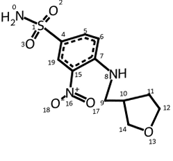 NS(=O)(=O)c1ccc(NCC2CCOC2)c([N+](=O)[O-])c1